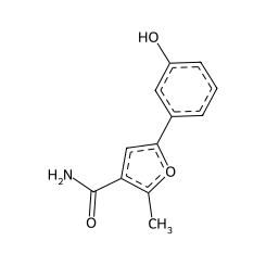 Cc1oc(-c2cccc(O)c2)cc1C(N)=O